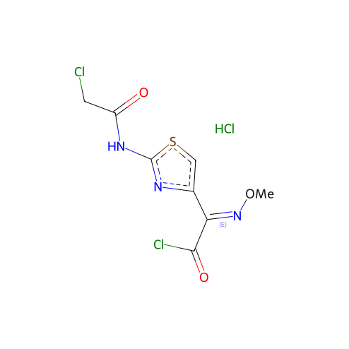 CO/N=C(/C(=O)Cl)c1csc(NC(=O)CCl)n1.Cl